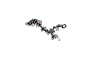 CC(C)[C@H](NCCN(C)CCNC(=O)COC1C#CCCCCC1)C(=O)N[C@@H](CCCNC(N)=O)C(=O)Nc1ccc(COC(=O)NCCNC(=O)OCC(=O)[C@@]2(O)[C@H](C)C[C@H]3[C@@H]4CCC5=CC(=O)C=C[C@]5(C)[C@@]4(F)[C@@H](O)C[C@@]32C)cc1